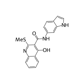 CSc1nc2ccccc2c(O)c1C(=O)Nc1ccc2cc[nH]c2c1